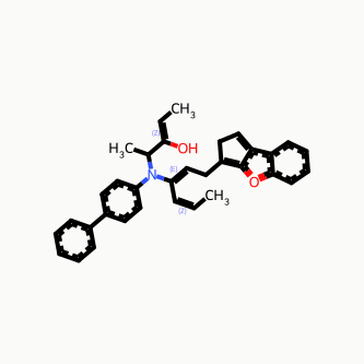 C/C=C\C(=C/CC1=c2oc3ccccc3c2=CC1)N(c1ccc(-c2ccccc2)cc1)C(C)/C(O)=C/C